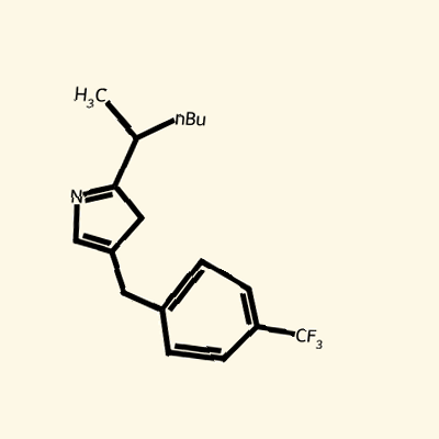 CCCCC(C)C1=NC=C(Cc2ccc(C(F)(F)F)cc2)C1